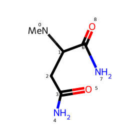 CNC(CC(N)=O)C(N)=O